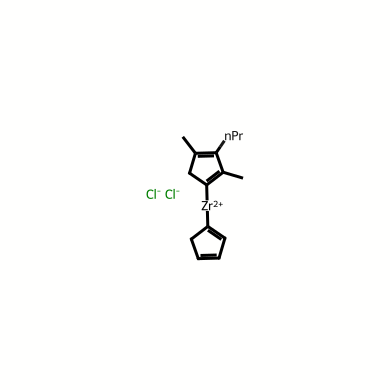 CCCC1=C(C)C[C]([Zr+2][C]2=CC=CC2)=C1C.[Cl-].[Cl-]